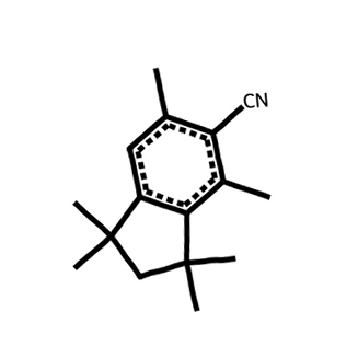 Cc1cc2c(c(C)c1C#N)C(C)(C)CC2(C)C